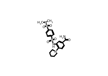 CN(C)S(=O)(=O)c1ccc(S(=O)(=O)Nc2cc(C(N)=O)ccc2N2CCCCC2)cc1